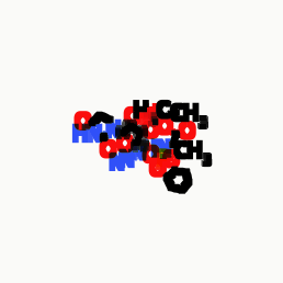 CC(C)OC(=O)C(C)NP(=O)(OC[C@@]1(N=[N+]=[N-])O[C@@H](n2ccc(=O)[nH]c2=O)[C@@H](O)[C@@H]1O)Oc1ccccc1